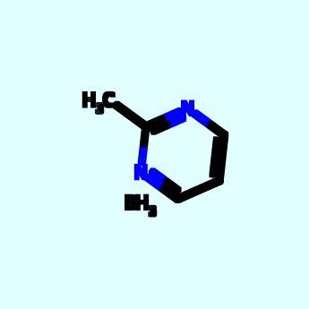 B.Cc1ncccn1